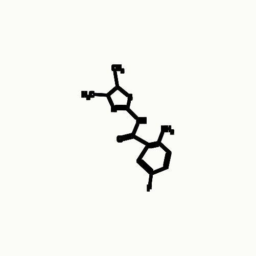 CC1N=C(NC(=O)c2cc(F)ccc2N)SC1C